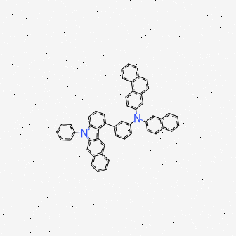 c1ccc(-n2c3cc4ccccc4cc3c3c(-c4cccc(N(c5ccc6ccccc6c5)c5ccc6c(ccc7ccccc76)c5)c4)cccc32)cc1